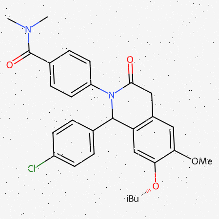 CC[C@@H](C)Oc1cc2c(cc1OC)CC(=O)N(c1ccc(C(=O)N(C)C)cc1)C2c1ccc(Cl)cc1